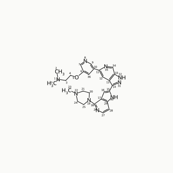 CN(C)CCOc1cncc(-c2cc3c(-c4cc5c(N6CCN(C)CC6)nccc5[nH]4)n[nH]c3cn2)c1